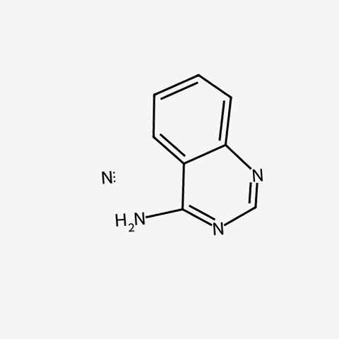 Nc1ncnc2ccccc12.[N]